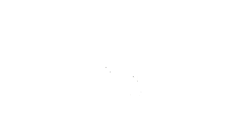 CC(=O)On1ccc2ccc(Cl)nc21